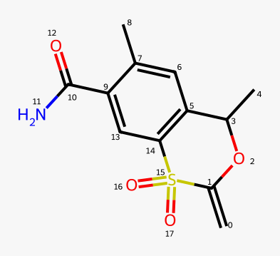 C=C1OC(C)c2cc(C)c(C(N)=O)cc2S1(=O)=O